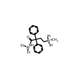 CC(C)[N+](C)(CCC(C(N)=O)(c1ccccc1)c1ccccc1)C(C)C.C[CH2][Al][CH2]C